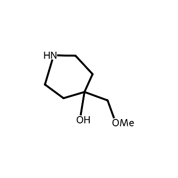 COCC1(O)CCNCC1